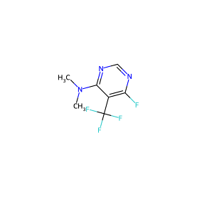 CN(C)c1ncnc(F)c1C(F)(F)F